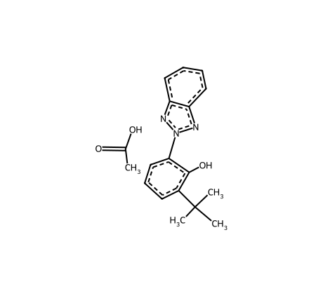 CC(=O)O.CC(C)(C)c1cccc(-n2nc3ccccc3n2)c1O